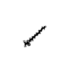 CCCCCCCCCCCCCCOC(=O)C(C)C